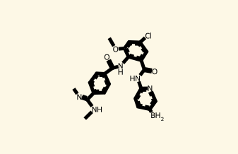 Bc1ccc(NC(=O)c2cc(Cl)cc(OC)c2NC(=O)c2ccc(/C(=N\C)NC)cc2)nc1